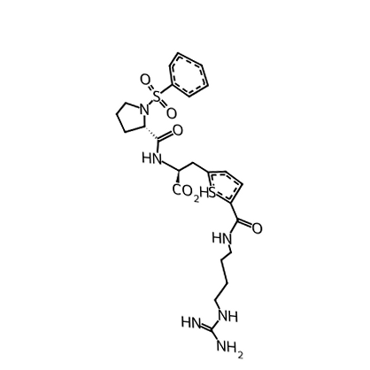 N=C(N)NCCCCNC(=O)c1ccc(C[C@H](NC(=O)[C@@H]2CCCN2S(=O)(=O)c2ccccc2)C(=O)O)s1